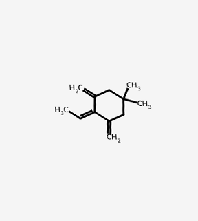 C=C1CC(C)(C)CC(=C)C1=CC